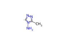 Cc1nn[c]n1N